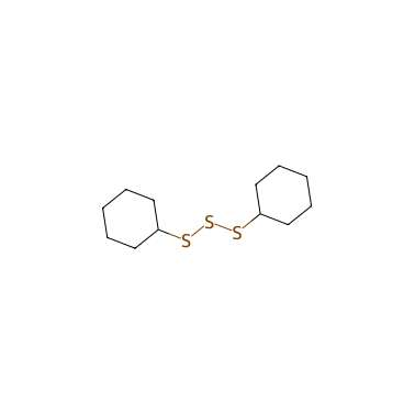 C1CCC(SSSC2CCCCC2)CC1